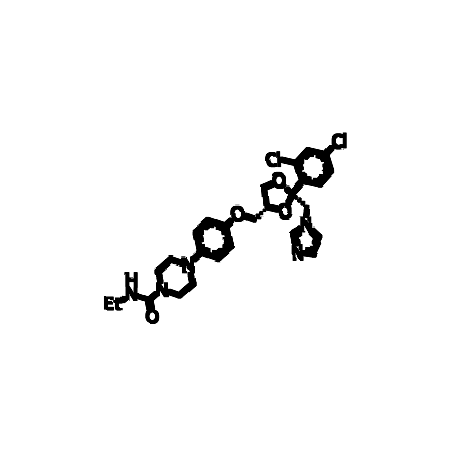 CCNC(=O)N1CCN(c2ccc(OC[C@@H]3CO[C@@](Cn4ccnc4)(c4ccc(Cl)cc4Cl)O3)cc2)CC1